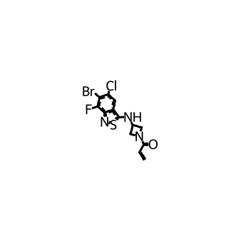 C=CC(=O)N1CC(Nc2snc3c(F)c(Br)c(Cl)cc23)C1